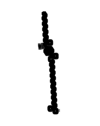 CCCCCCCCCCCC(=O)Nc1ccc(C(=O)OCCCCCCCCCCCCCCCCCC([O])=O)cc1